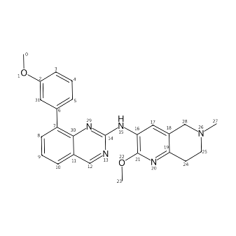 COc1cccc(-c2cccc3cnc(Nc4cc5c(nc4OC)CCN(C)C5)nc23)c1